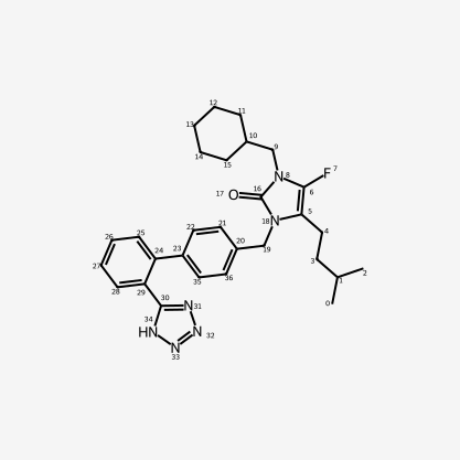 CC(C)CCc1c(F)n(CC2CCCCC2)c(=O)n1Cc1ccc(-c2ccccc2-c2nnn[nH]2)cc1